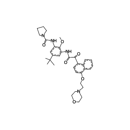 COc1c(NC(=O)C(=O)c2ccc(OCCN3CCOCC3)c3ccccc23)cc(C(C)(C)C)cc1NC(=O)N1CCCC1